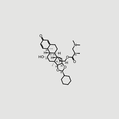 C[C@H](CN(C)C)C(=O)OCC(=O)[C@@]12O[C@H](C3CCCCC3)O[C@@H]1C[C@H]1[C@@H]3CCC4=CC(=O)C=C[C@]4(C)[C@H]3[C@@H](O)C[C@@]12C